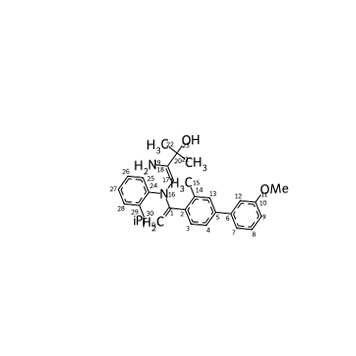 C=C(c1ccc(-c2cccc(OC)c2)cc1C)N(/C=C(\N)C(C)(C)O)c1ccccc1C(C)C